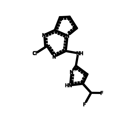 FC(F)c1cc(Nc2nc(Cl)nc3cccn23)n[nH]1